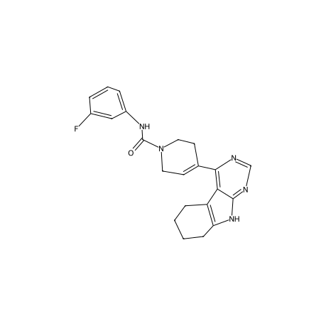 O=C(Nc1cccc(F)c1)N1CC=C(c2ncnc3[nH]c4c(c23)CCCC4)CC1